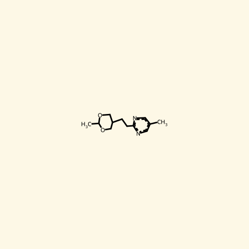 Cc1cnc(CCC2COC(C)OC2)nc1